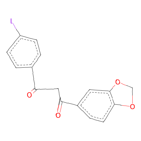 O=C(CC(=O)c1ccc2c(c1)OCO2)c1ccc(I)cc1